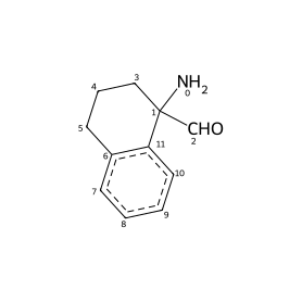 NC1(C=O)CCCc2ccccc21